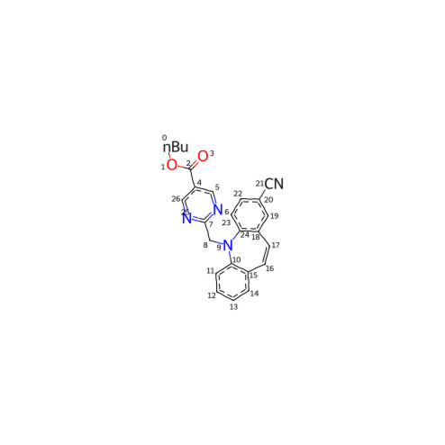 CCCCOC(=O)c1cnc(CN2c3ccccc3C=Cc3cc(C#N)ccc32)nc1